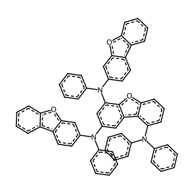 c1ccc(N(c2ccc3c(c2)oc2ccccc23)c2cc(N(c3ccccc3)c3ccc4c(c3)oc3ccccc34)c3oc4cccc(N(c5ccccc5)c5ccccc5)c4c3c2)cc1